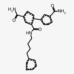 NC(=O)c1cccc(-c2ccc(C(N)=O)cc2C(=O)NCCCCc2ccccc2)c1